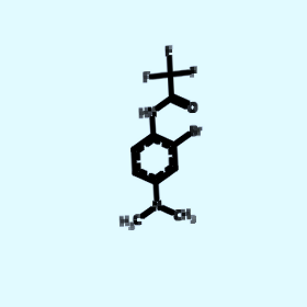 CN(C)c1ccc(NC(=O)C(F)(F)F)c(Br)c1